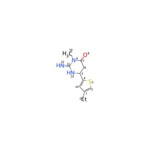 CCc1csc(C2CC(=O)N(C)C(=N)N2)c1